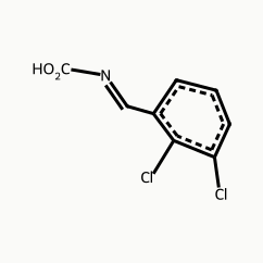 O=C(O)N=Cc1cccc(Cl)c1Cl